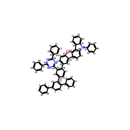 c1ccc(-c2ccc(-c3ccccc3)c(-c3ccc(-c4ccc5oc6c(ccc7c6c6ccccc6n7-c6ccccc6)c5c4)c(-c4nc(-c5ccccc5)nc(-c5ccccc5)n4)c3)c2)cc1